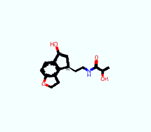 CC(O)C(=O)NCC[C@@H]1CC(O)c2ccc3c(c21)CCO3